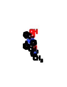 Cc1ccc(COc2ccc3nc([C@@H]4CCCC[C@H]4C(=O)O)n(Cc4cccc(C)c4)c3c2)nc1